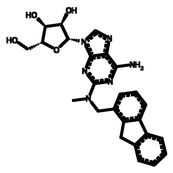 CN(Cc1cccc2c1Cc1ccccc1-2)c1nc(N)c2ncn([C@@H]3O[C@H](CO)[C@@H](O)[C@H]3O)c2n1